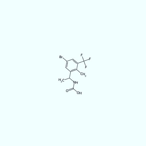 Cc1c(C(C)NC(=O)O)cc(Br)cc1C(F)(F)F